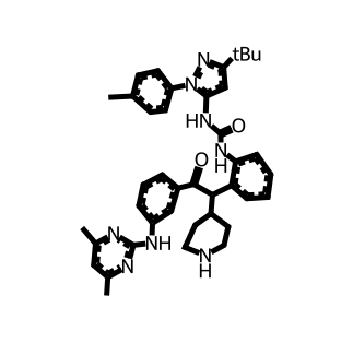 Cc1ccc(-n2nc(C(C)(C)C)cc2NC(=O)Nc2ccccc2C(C(=O)c2cccc(Nc3nc(C)cc(C)n3)c2)C2CCNCC2)cc1